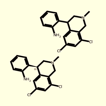 CN1Cc2c(Cl)cc(Cl)cc2C(c2ccccc2N)C1.CN1Cc2c(Cl)cc(Cl)cc2[C@@H](c2ccccc2N)C1